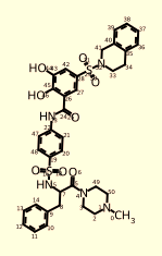 CN1CCN(C(=O)C(Cc2ccccc2)NS(=O)(=O)c2ccc(NC(=O)c3cc(S(=O)(=O)N4CCc5ccccc5C4)cc(O)c3O)cc2)CC1